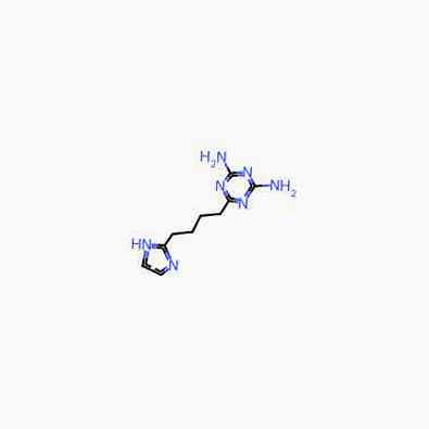 Nc1nc(N)nc(CCCCc2ncc[nH]2)n1